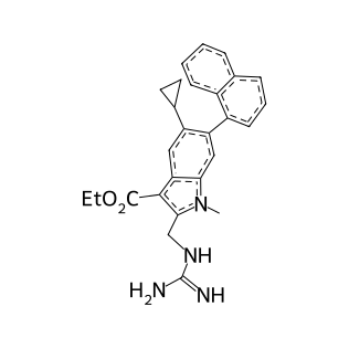 CCOC(=O)c1c(CNC(=N)N)n(C)c2cc(-c3cccc4ccccc34)c(C3CC3)cc12